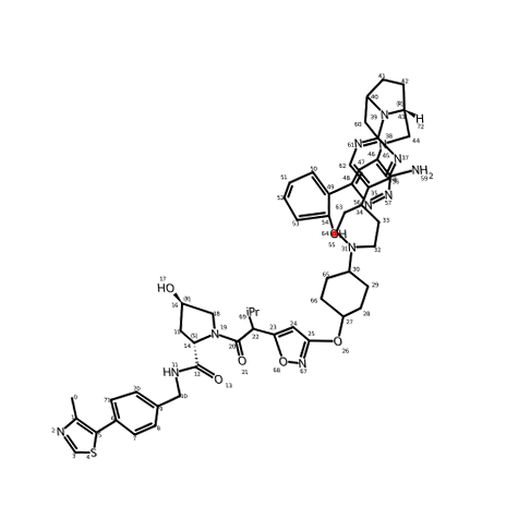 Cc1ncsc1-c1ccc(CNC(=O)[C@@H]2C[C@@H](O)CN2C(=O)C(c2cc(OC3CCC(N4CCC(c5cnc(N6C7CC[C@@H]6CN(c6cc(-c8ccccc8O)nnc6N)C7)nc5)CC4)CC3)no2)C(C)C)cc1